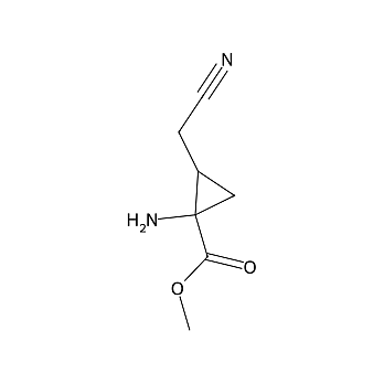 COC(=O)C1(N)CC1CC#N